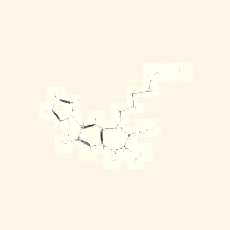 O=S(=O)(O)OCCCCN1c2cc(-n3ccnc3)c(Br)cc2NC(O)C1O